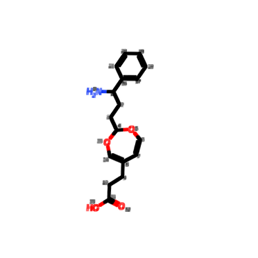 NC(CCC1OC=CC(CCC(=O)O)=CO1)c1ccccc1